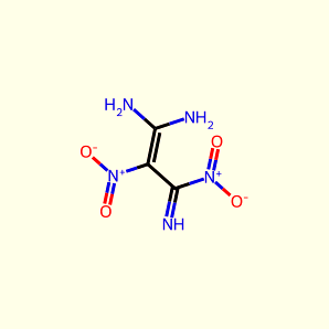 N=C(C(=C(N)N)[N+](=O)[O-])[N+](=O)[O-]